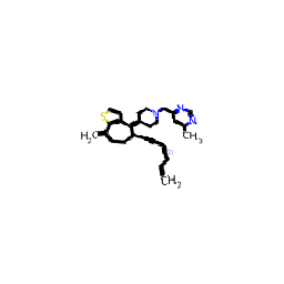 C=C/C=C\C#CC1CCC(=C)c2sccc2C1=C1CCN(Cc2cc(C)ncn2)CC1